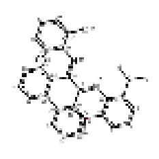 CC(C)c1cccc(C(C)C)c1/N=C1/C(=N/c2c(Cl)cccc2Cl)c2ccccc2-c2ccccc21